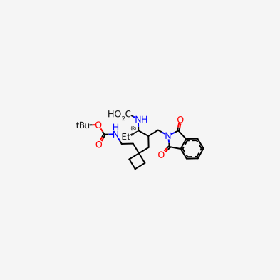 CC[C@@H](NC(=O)O)C(CN1C(=O)c2ccccc2C1=O)CC1(CCNC(=O)OC(C)(C)C)CCC1